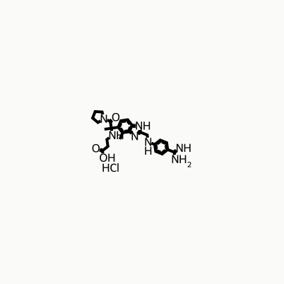 Cc1c(C(C)(NCCC(=O)O)C(=O)N2CCCC2)ccc2[nH]c(CNc3ccc(C(=N)N)cc3)nc12.Cl